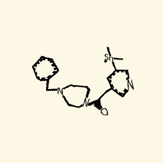 [CH3][Sn]([CH3])([CH3])[c]1cncc(C(=O)N2CCN(Cc3ccccc3)CC2)c1